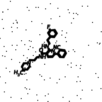 CN1CCN(CCCNC(=O)c2ccc(-c3ccccc3C#N)nc2NCCc2cccc(F)c2)CC1